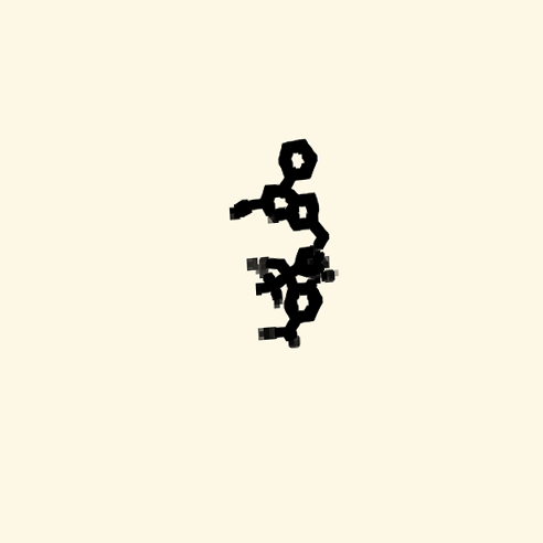 CCC(c1cn(Cc2ccc3c(-c4ccccc4)cc(C#N)nc3c2)nn1)(c1cc(C(=O)O)ccc1[N+](=O)[O-])C(F)(F)F